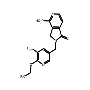 Cc1cc(CN2Cc3c(ccnc3C(=O)O)C2=O)cnc1OCC(F)(F)F